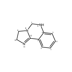 c1ccc2c(c1)NCN1CCN=C21